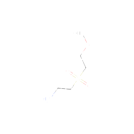 NCCS(=O)(=O)CCOC=O